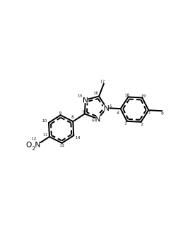 Cc1ccc(-n2nc(-c3ccc([N+](=O)[O-])cc3)nc2C)cc1